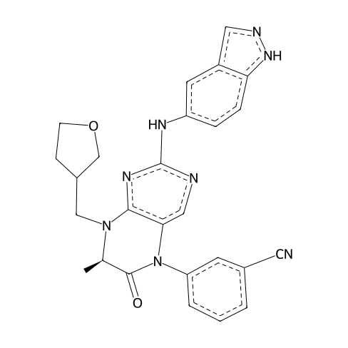 C[C@@H]1C(=O)N(c2cccc(C#N)c2)c2cnc(Nc3ccc4[nH]ncc4c3)nc2N1CC1CCOC1